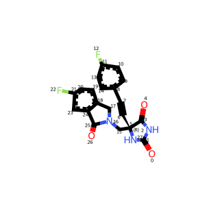 O=C1NC(=O)[C@@](C#Cc2ccc(F)cc2)(CN2Cc3ccc(F)cc3C2=O)N1